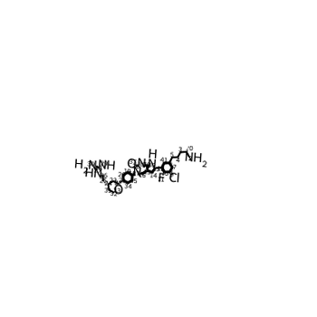 C[C@H](N)CCCc1cc(Cl)c(F)c(-c2cc3cn(-c4ccc([C@@H]5C[C@@H](CCNC(=N)N)CCO5)cc4)c(=O)nc3[nH]2)c1